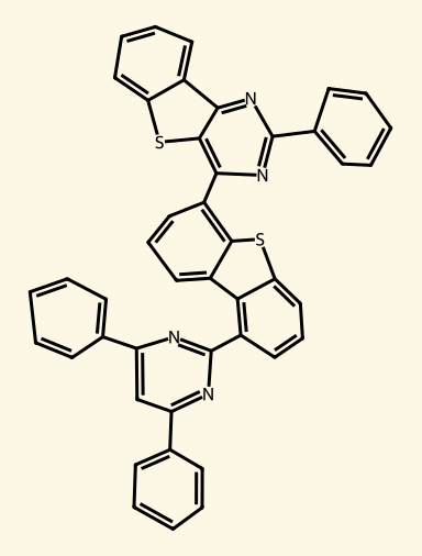 c1ccc(-c2cc(-c3ccccc3)nc(-c3cccc4sc5c(-c6nc(-c7ccccc7)nc7c6sc6ccccc67)cccc5c34)n2)cc1